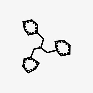 c1ccc([CH2][In]([CH2]c2ccccc2)[CH2]c2ccccc2)cc1